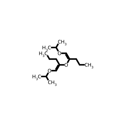 CCCC(=COC(C)C)OC(=COC(C)C)CCC